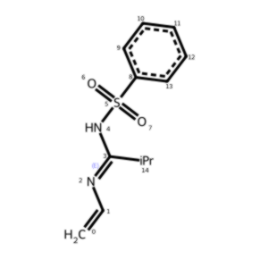 C=C/N=C(/NS(=O)(=O)c1ccccc1)C(C)C